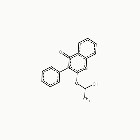 CC(O)Oc1nc2ccccc2c(=O)n1-c1ccccc1